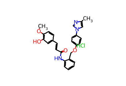 COc1ccc(C=CC(=O)Nc2ccccc2COc2ccc(-n3cnc(C)c3)cc2)cc1O.Cl